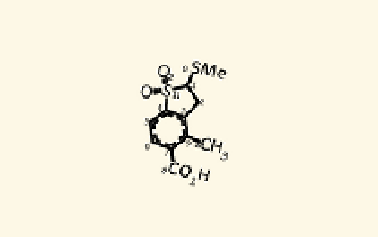 CSC1Cc2c(ccc(C(=O)O)c2C)S1(=O)=O